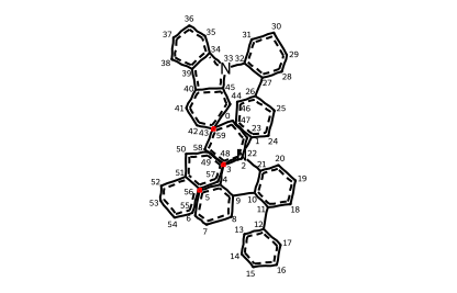 c1ccc(-c2ccccc2-c2c(-c3ccccc3)cccc2N(c2ccc(-c3ccccc3-n3c4ccccc4c4ccccc43)cc2)c2ccc3ccccc3c2)cc1